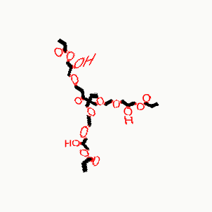 C=CC(=O)OCC(O)COCCOCC(C=C)(COCCOCC(O)COC(=O)C=C)C(=O)CCOCC(O)COC(=O)C=C